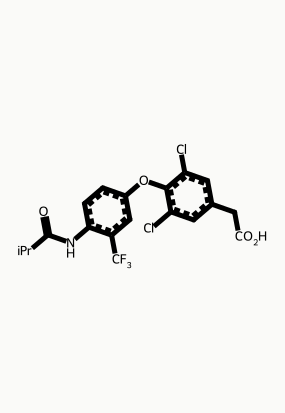 CC(C)C(=O)Nc1ccc(Oc2c(Cl)cc(CC(=O)O)cc2Cl)cc1C(F)(F)F